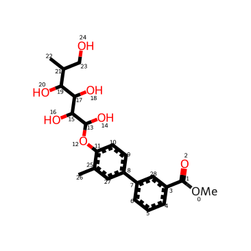 COC(=O)c1cccc(-c2ccc(OC(O)C(O)C(O)C(O)C(C)CO)c(C)c2)c1